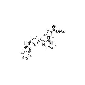 C=C/C=N\C(Oc1ccc(Nc2nc3ccccc3s2)cc1)=C(/N)N1CC[C@@H](C(=O)OC)C1